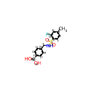 Cc1ccc(S(=O)(=O)NCc2ccc(B(O)O)cc2)c(F)c1